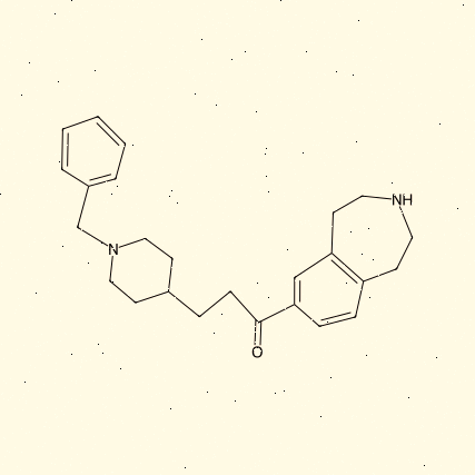 O=C(CCC1CCN(Cc2ccccc2)CC1)c1ccc2c(c1)CCNCC2